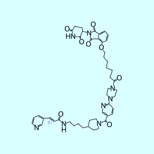 O=C(/C=C/c1cccnc1)NCCCCC1CCN(C(=O)c2ccc(N3CCN(C(=O)CCCCCCOc4cccc5c4C(=O)N(C4CCC(=O)NC4=O)C5=O)CC3)nc2)CC1